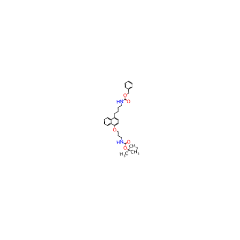 CC(C)(C)OC(=O)NCCCOc1ccc(CCCCNC(=O)OCc2ccccc2)c2ccccc12